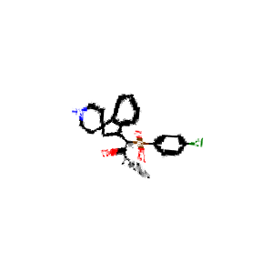 COC(=O)[C@@H](C1=CC2(CCNCC2)c2ccccc21)S(=O)(=O)c1ccc(Cl)cc1